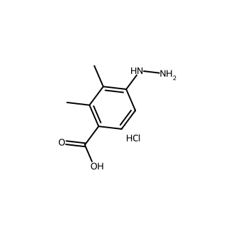 Cc1c(NN)ccc(C(=O)O)c1C.Cl